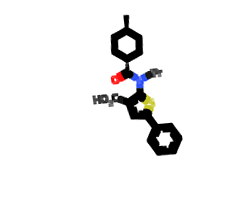 CC(C)N(c1sc(-c2ccccc2)cc1C(=O)O)C(=O)[C@H]1CC[C@H](C)CC1